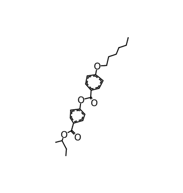 CCCCCCOc1ccc(C(=O)Oc2ccc(C(=O)OC(C)CC)cc2)cc1